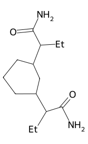 CCC(C(N)=O)C1CCCC(C(CC)C(N)=O)C1